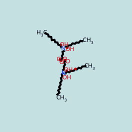 CCCCCCCCCCC(O)CN(CCCCC1OC(=O)C(CCCCN(CC(O)CCCCCCCCCC)CC(O)CCCCCCCCCC)OC1=O)CC(O)CCCCCCCCC